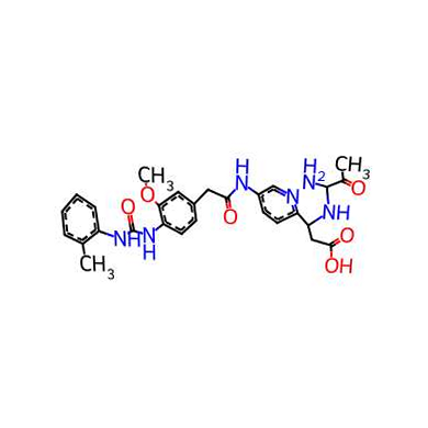 COc1cc(CC(=O)Nc2ccc(C(CC(=O)O)NC(N)C(C)=O)nc2)ccc1NC(=O)Nc1ccccc1C